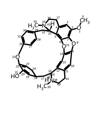 COc1cc2c3c4c1Oc1cc5c(cc1O4)[C@H](CC1C=C(O)C(=CC1)Oc1ccc(cc1)C[C@@H]3N(C)CC2)N(C)CC5